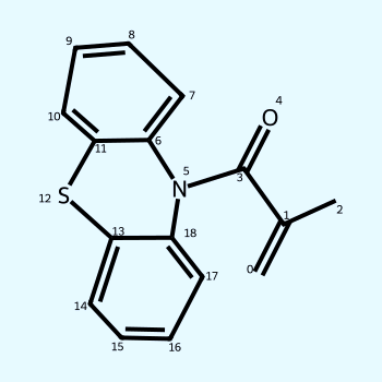 C=C(C)C(=O)N1c2ccccc2Sc2ccccc21